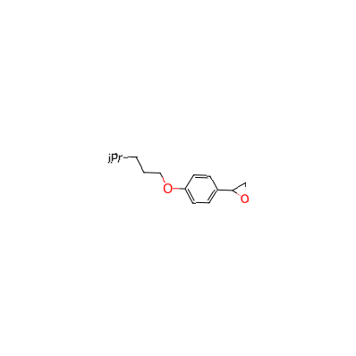 CC(C)CCCOc1ccc(C2CO2)cc1